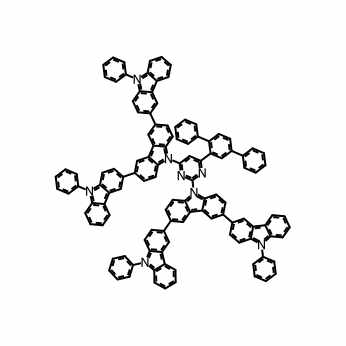 c1ccc(-c2ccc(-c3ccccc3)c(-c3cc(-n4c5ccc(-c6ccc7c(c6)c6ccccc6n7-c6ccccc6)cc5c5cc(-c6ccc7c(c6)c6ccccc6n7-c6ccccc6)ccc54)nc(-n4c5ccc(-c6ccc7c(c6)c6ccccc6n7-c6ccccc6)cc5c5cc(-c6ccc7c(c6)c6ccccc6n7-c6ccccc6)ccc54)n3)c2)cc1